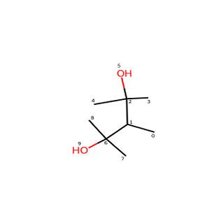 CC(C(C)(C)O)C(C)(C)O